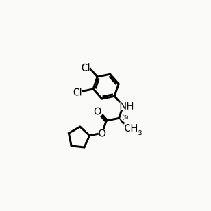 C[C@H](Nc1ccc(Cl)c(Cl)c1)C(=O)OC1CCCC1